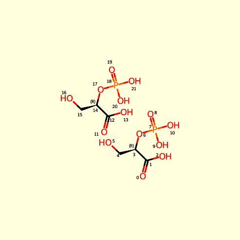 O=C(O)[C@@H](CO)OP(=O)(O)O.O=C(O)[C@@H](CO)OP(=O)(O)O